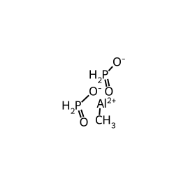 O=[PH2][O-].O=[PH2][O-].[CH3][Al+2]